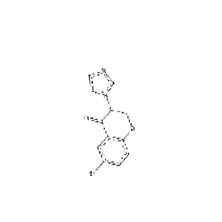 O=C1c2cc(Br)ccc2OCC1n1ccnc1